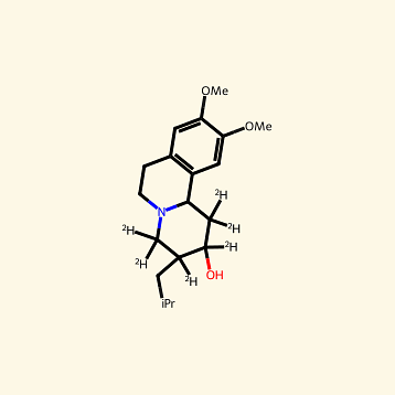 [2H]C1([2H])C2c3cc(OC)c(OC)cc3CCN2C([2H])([2H])C([2H])(CC(C)C)C1([2H])O